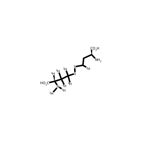 [2H]C(C[C@H](N)C(=O)O)SSC([2H])([2H])C([2H])([2H])[C@@]([2H])(C(=O)O)N([2H])[2H]